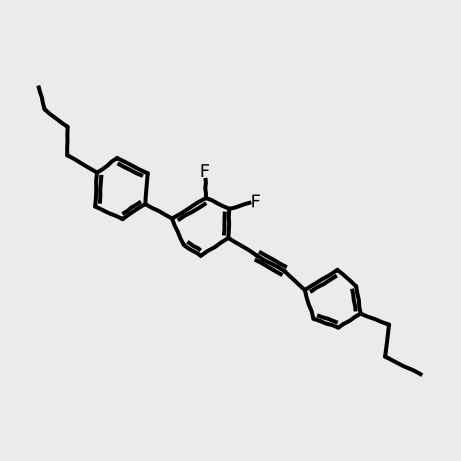 CCCCc1ccc(-c2ccc(C#Cc3ccc(CCC)cc3)c(F)c2F)cc1